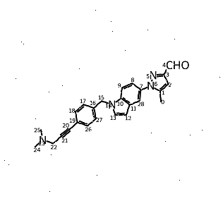 Cc1cc(C=O)nn1-c1ccc2c(ccn2Cc2ccc(C#CCN(C)C)cc2)c1